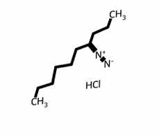 CCCCCCC(CCC)=[N+]=[N-].Cl